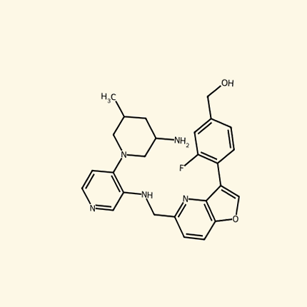 CC1CC(N)CN(c2ccncc2NCc2ccc3occ(-c4ccc(CO)cc4F)c3n2)C1